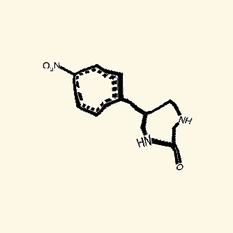 O=C1NCC(c2ccc([N+](=O)[O-])cc2)N1